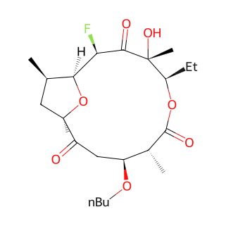 CCCCO[C@H]1CC(=O)[C@@]2(C)C[C@@H](C)[C@H](O2)[C@@H](F)C(=O)[C@](C)(O)[C@@H](CC)OC(=O)[C@@H]1C